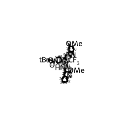 COc1ccc2nc(C(F)(F)F)n(CC(=O)N3CCN(C(=O)OC(C)(C)C)C[C@H]3c3nnc(-c4cc5ccccc5nc4OC)[nH]3)c2c1